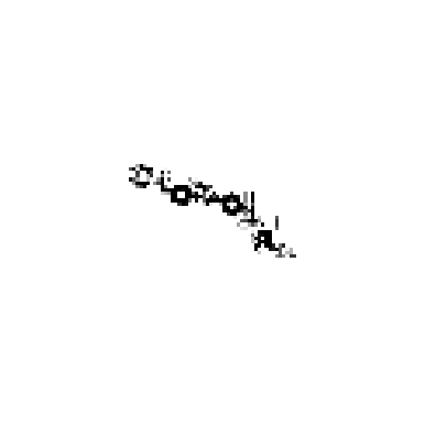 CC(C)(C)c1cc(NC(=O)Nc2ccc(-c3cn4c(n3)sc3cc(CC(=O)N5CCOCC5)ccc34)cc2)no1